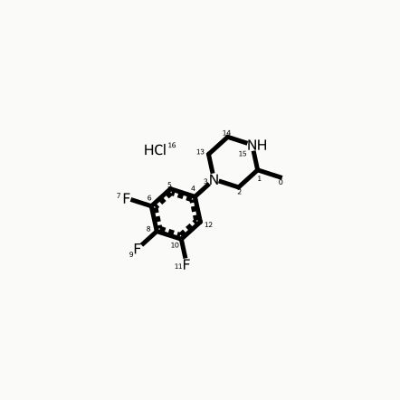 CC1CN(c2cc(F)c(F)c(F)c2)CCN1.Cl